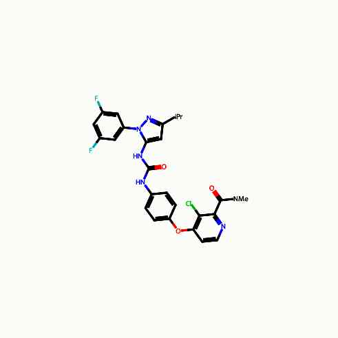 CNC(=O)c1nccc(Oc2ccc(NC(=O)Nc3cc(C(C)C)nn3-c3cc(F)cc(F)c3)cc2)c1Cl